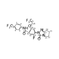 O=C(Nc1ccc(C(F)(F)F)cc1)c1cc(F)c(-n2nc3n(c2=O)CCCC3)cc1OCC(F)(F)F